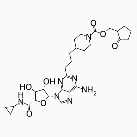 Nc1nc(CCCC2CCN(C(=O)OCC3CCCC3=O)CC2)nc2c1ncn2[C@@H]1O[C@H](C(=O)NC2CC2)C(O)[C@@H]1O